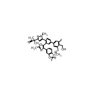 COSc1cc(-c2ccc(-c3cc(C(C)(C)C#N)nn3C)c(-c3oc(C)nc3-c3ccc4c(c3)OC(F)(F)O4)c2)cc(F)c1CO